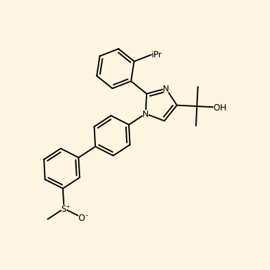 CC(C)c1ccccc1-c1nc(C(C)(C)O)cn1-c1ccc(-c2cccc([S+](C)[O-])c2)cc1